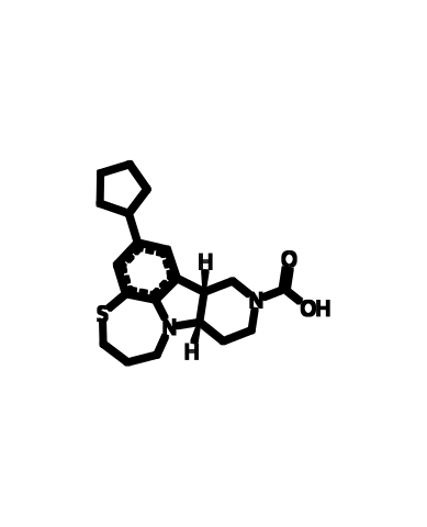 O=C(O)N1CC[C@H]2[C@@H](C1)c1cc(C3CCCC3)cc3c1N2CCCS3